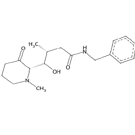 C[C@H](CC(=O)NCc1ccccc1)C(O)[C@H]1C(=O)CCCN1C